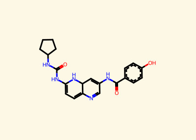 O=C(NC1=CC=C2N=CC(NC(=O)c3ccc(O)cc3)=CC2N1)NC1CCCC1